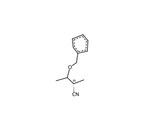 CC(OCc1ccccc1)[C@H](C)C#N